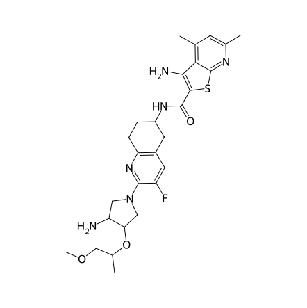 COCC(C)OC1CN(c2nc3c(cc2F)CC(NC(=O)c2sc4nc(C)cc(C)c4c2N)CC3)CC1N